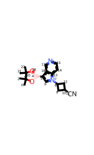 CC1(C)OB(c2cn(C3CC(C#N)C3)c3ccncc23)OC1(C)C